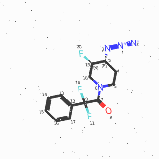 [N-]=[N+]=N[C@@H]1CCN(C(=O)C(F)(F)c2ccccc2)C[C@H]1F